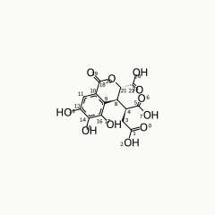 O=C(O)C[C@H](C(=O)O)[C@H]1c2c(cc(O)c(O)c2O)C(=O)O[C@@H]1C(=O)O